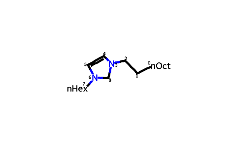 CCCCCCCCCCN1C=CN(CCCCCC)C1